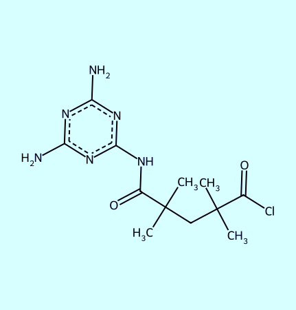 CC(C)(CC(C)(C)C(=O)Nc1nc(N)nc(N)n1)C(=O)Cl